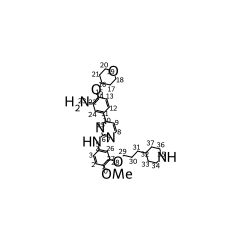 COc1ccc(Nc2nccc(-c3ccc(OC4CCOCC4)c(N)c3)n2)cc1OCCCC1CCNCC1